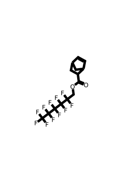 O=C(OCC(F)(F)C(F)(F)C(F)(F)C(F)(F)C(F)(F)F)C1CC2C=CC1C2